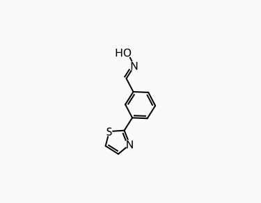 ON=Cc1cccc(-c2nccs2)c1